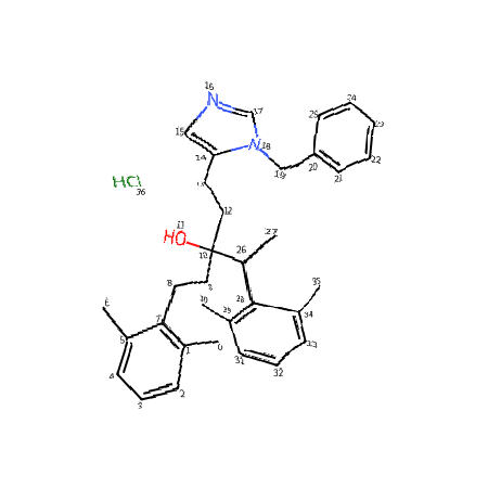 Cc1cccc(C)c1CCC(O)(CCc1cncn1Cc1ccccc1)C(C)c1c(C)cccc1C.Cl